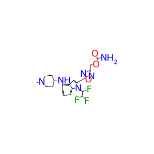 CN1CCC(Nc2cccc3c2cc(-c2nc(COC(N)=O)no2)n3C(F)C(F)F)CC1